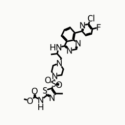 COC(=O)Nc1nc(C)c(S(=O)(=O)N2CCN(CC(C)Nc3ncnc4c(-c5ccc(F)c(Cl)n5)cccc34)CC2)s1